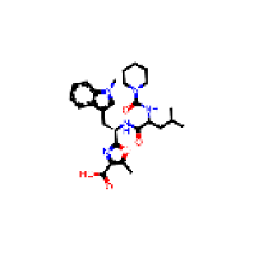 Cc1oc([C@@H](Cc2cn(C)c3ccccc23)NC(=O)C(CC(C)C)NC(=O)N2CCCCC2)nc1C(=O)O